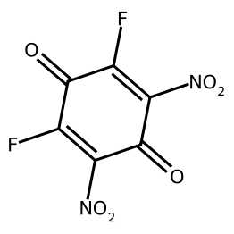 O=C1C(F)=C([N+](=O)[O-])C(=O)C([N+](=O)[O-])=C1F